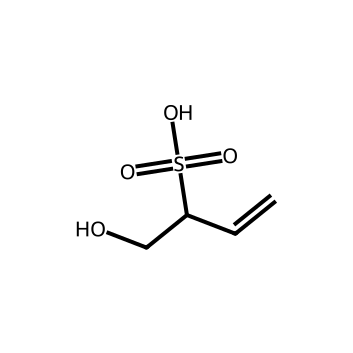 C=CC(CO)S(=O)(=O)O